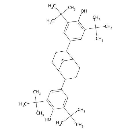 CC(C)(C)c1cc(C2CCC3SC2CCC3c2cc(C(C)(C)C)c(O)c(C(C)(C)C)c2)cc(C(C)(C)C)c1O